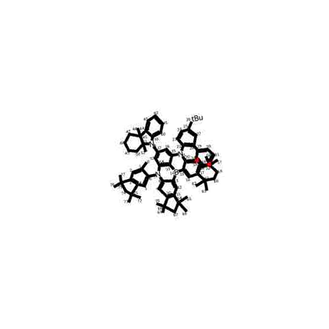 Cc1cc2c(cc1N1c3cc4c(cc3B3c5cc6c(cc5N(c5ccc(C(C)(C)C)cc5-c5ccccc5)c5cc(N7c8ccccc8C8(C)CCCCC78C)cc1c53)C(C)(C)CCC6(C)C)C(C)(C)CC4(C)C)C(C)(C)CC2(C)C